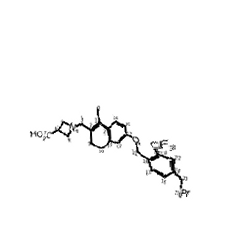 CC1=C(CN2CC(C(=O)O)C2)CCc2cc(OCc3ccc(CC(C)C)cc3C(F)(F)F)ccc21